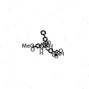 COC(=O)c1ccc2nc([C@H](Cc3ccc(C4CC(=O)NS4(=O)=O)cc3)NS(=O)(=O)c3ccc(-c4ccccc4)cc3)[nH]c2c1